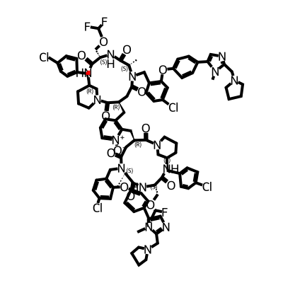 C[C@H]1C(=O)N[C@@H](COC(F)F)C(=O)N[C@@]2(Cc3ccc(Cl)cc3)CCCN(C2)C(=O)[C@H](Cc2ccc[n+]([O-])c2C[C@@H]2CC(=O)N(Cc3ccc(Cl)cc3Oc3ccc(-c4cnc(CN5CCCC5)n4C)cc3)[C@@H](C)C(=O)N[C@@H](COC(F)F)C(=O)N[C@@]3(Cc4ccc(Cl)cc4)CCCN(C3)C2=O)CC(=O)N1Cc1ccc(Cl)cc1Oc1ccc(-c2cnc(CN3CCCC3)n2C)cc1